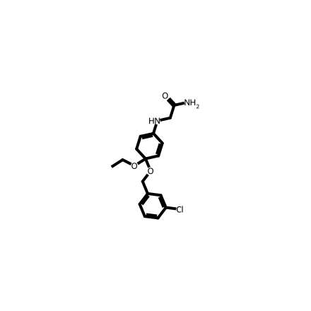 CCOC1(OCc2cccc(Cl)c2)C=CC(NCC(N)=O)=CC1